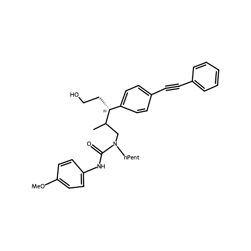 CCCCCN(CC(C)[C@H](CCO)c1ccc(C#Cc2ccccc2)cc1)C(=O)Nc1ccc(OC)cc1